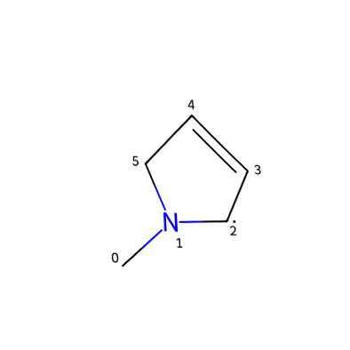 CN1[CH]C=CC1